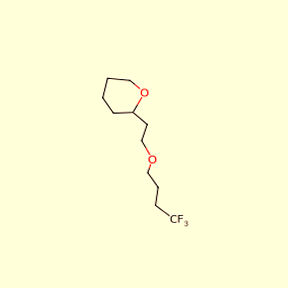 FC(F)(F)CCCOCCC1CCCCO1